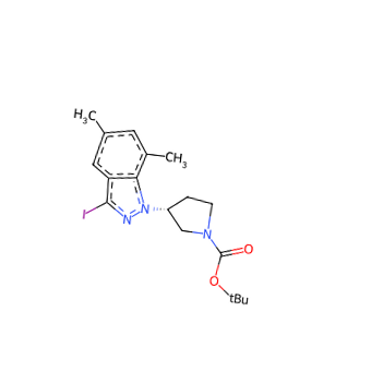 Cc1cc(C)c2c(c1)c(I)nn2[C@@H]1CCN(C(=O)OC(C)(C)C)C1